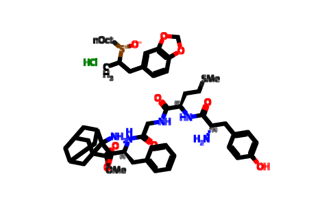 CCCCCCCC[S+]([O-])C(C)Cc1ccc2c(c1)OCO2.COC(=O)C12CC3CC(CC(C3)C1(N)C(=O)[C@H](Cc1ccccc1)NC(=O)CNC(=O)[C@@H](CCSC)NC(=O)[C@@H](N)Cc1ccc(O)cc1)C2.Cl